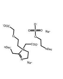 CCCCCCCCCCCC1=NCC[N+]1(CCOCC(=O)[O-])CC(=O)[O-].CCCCCCCCCCCCOS(=O)(=O)[O-].[Na+].[Na+]